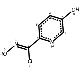 ON=C(Cl)c1ccc(O)cn1